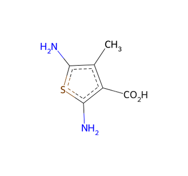 Cc1c(N)sc(N)c1C(=O)O